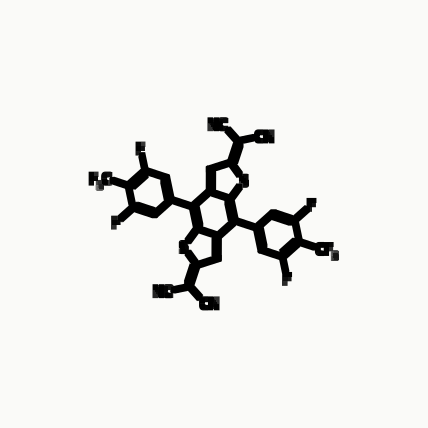 N#CC(C#N)=c1cc2c(-c3cc(F)c(C(F)(F)F)c(F)c3)c3sc(=C(C#N)C#N)cc3c(-c3cc(F)c(C(F)(F)F)c(F)c3)c2s1